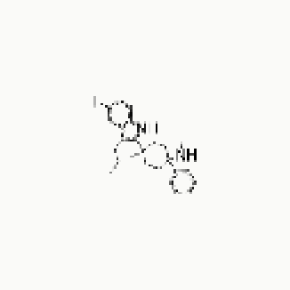 CCCc1c(C2(C)CCC(NC)(c3ccccc3)CC2)[nH]c2ccc(F)cc12